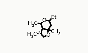 CCC1CC2(C)OCN(C)C2C(C)O1